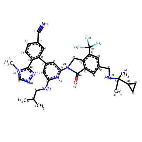 CC(C)CNc1cc(-c2cc(C#N)ccc2-c2nncn2C)cc(N2Cc3c(cc(CNC(C)(C)C4CC4)cc3C(F)(F)F)C2=O)n1